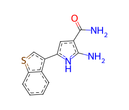 NC(=O)c1cc(-c2csc3ccccc23)[nH]c1N